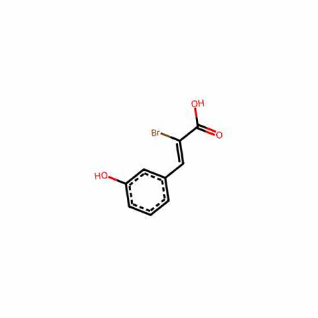 O=C(O)/C(Br)=C/c1cccc(O)c1